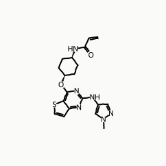 C=CC(=O)N[C@H]1CC[C@@H](Oc2nc(Nc3cnn(C)c3)nc3ccsc23)CC1